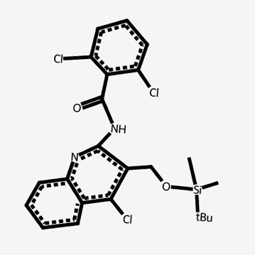 CC(C)(C)[Si](C)(C)OCc1c(NC(=O)c2c(Cl)cccc2Cl)nc2ccccc2c1Cl